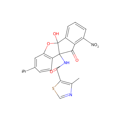 Cc1ncsc1C(=O)NC12C(=O)c3c([N+](=O)[O-])cccc3C1(O)Oc1cc(C(C)C)ccc12